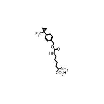 NC(CCCCNC(=O)OCc1ccc(C2(C(F)(F)F)C=C2)cc1)C(=O)O